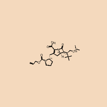 C=CCOC(=O)N1CCC[C@H]1CC1=C(C(=O)O)N2C(=O)[C@@H]([C@@H](CO[SiH](C)C)C(C)(C)C)[C@H]2C1